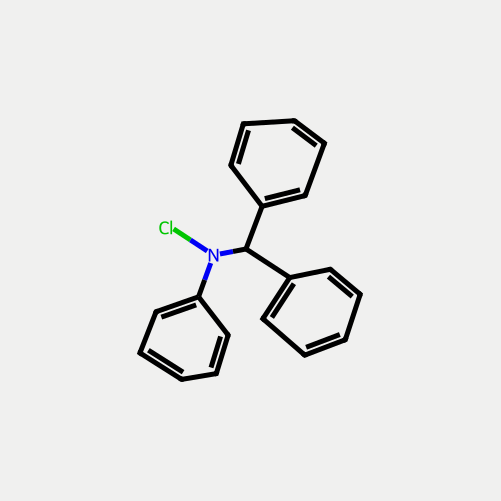 ClN(c1ccccc1)C(c1ccccc1)c1ccccc1